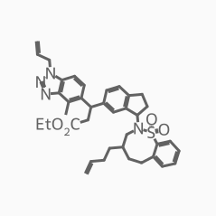 C=CCCC1CCc2ccccc2S(=O)(=O)N(C2CCc3ccc(C(CC(=O)OCC)c4ccc5c(nnn5CC=C)c4C)cc32)C1